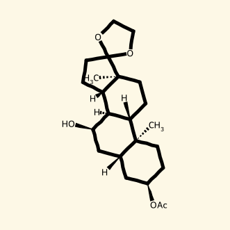 CC(=O)O[C@@H]1CC[C@@]2(C)[C@H](C1)C[C@@H](O)[C@@H]1[C@@H]2CC[C@@]2(C)[C@H]1CCC21OCCO1